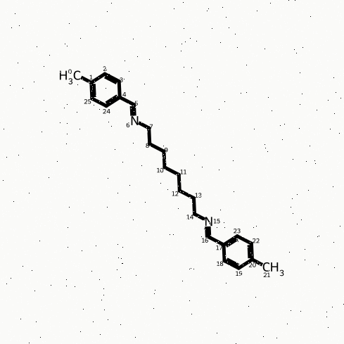 Cc1ccc(C=NCCCCCCCCN=Cc2ccc(C)cc2)cc1